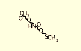 CSCCOCC(=O)NCCOCCC(C)=O